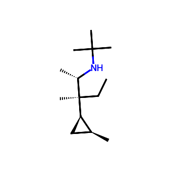 CC[C@](C)([C@H](C)NC(C)(C)C)[C@@H]1C[C@@H]1C